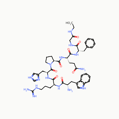 N=C(N)NCCC[C@H](NC(=O)[C@@H](N)Cc1c[nH]c2ccccc12)C(=O)N[C@@H](Cc1c[nH]cn1)C(=O)N1CCC[C@H]1C(=O)N[C@@H](CCC(N)=O)C(=O)N[C@@H](Cc1ccccc1)C(=O)NCC(=O)NCC(=O)O